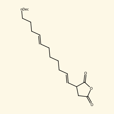 CCCCCCCCCCCCCC=CCCCCC=CC1CC(=O)OC1=O